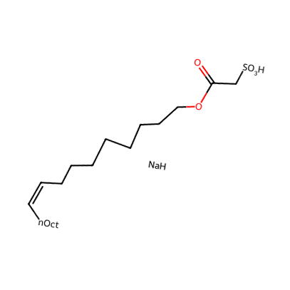 CCCCCCCC/C=C\CCCCCCCCOC(=O)CS(=O)(=O)O.[NaH]